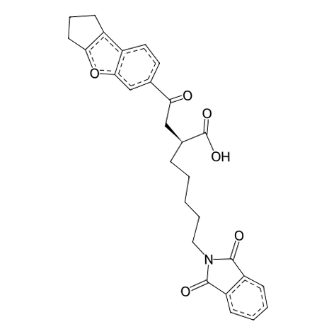 O=C(C[C@H](CCCCCN1C(=O)c2ccccc2C1=O)C(=O)O)c1ccc2c3c(oc2c1)CCC3